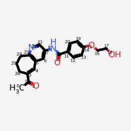 CC(=O)C1=Cc2cc(NC(=O)c3ccc(OCCO)cc3)cnc2CCC1